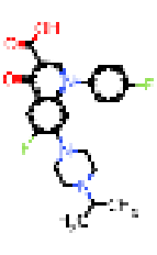 CC(C)N1CCN(c2cc3c(cc2F)c(=O)c(C(=O)O)cn3-c2ccc(F)cc2)CC1